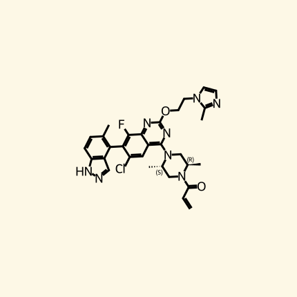 C=CC(=O)N1C[C@H](C)N(c2nc(OCCn3ccnc3C)nc3c(F)c(-c4c(C)ccc5[nH]ncc45)c(Cl)cc23)C[C@H]1C